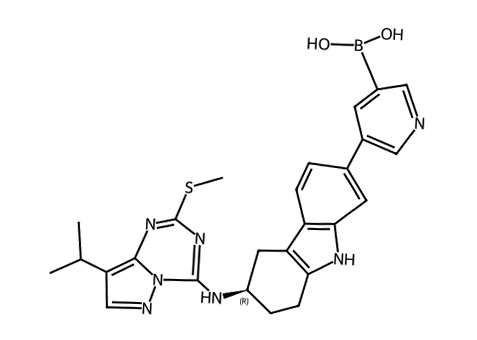 CSc1nc(N[C@@H]2CCc3[nH]c4cc(-c5cncc(B(O)O)c5)ccc4c3C2)n2ncc(C(C)C)c2n1